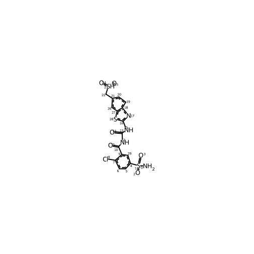 NS(=O)(=O)c1ccc(Cl)c(C(=O)NC(=O)Nc2nc3ccc(C[SH](=O)=O)cc3s2)c1